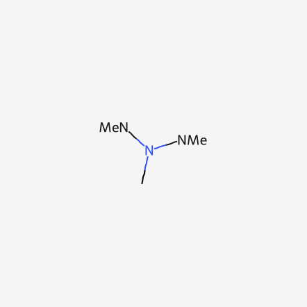 CNN(C)NC